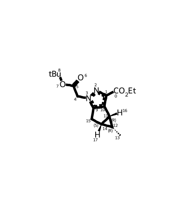 CCOC(=O)c1nn(CC(=O)OC(C)(C)C)c2c1[C@@H]1[C@H](C)[C@@H]1C2